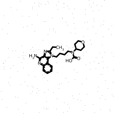 CCc1nc2c(N)nc3ccccc3c2n1CCCCN(C(=O)O)C1CCOCC1